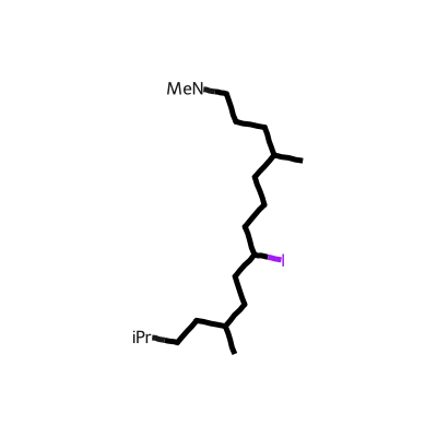 CNCCCC(C)CCCC(I)CCC(C)CCC(C)C